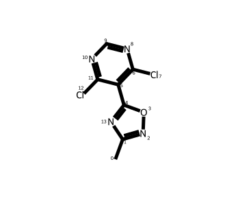 Cc1noc(-c2c(Cl)ncnc2Cl)n1